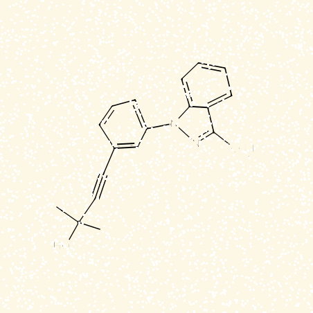 CC(C)(O)C#Cc1cccc(-n2nc(C(=O)O)c3ccccc32)c1